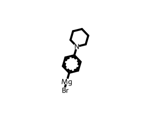 [Br][Mg][c]1ccc(N2CCCCC2)cc1